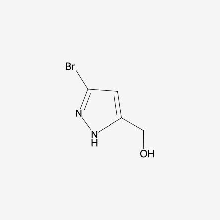 OCc1cc(Br)n[nH]1